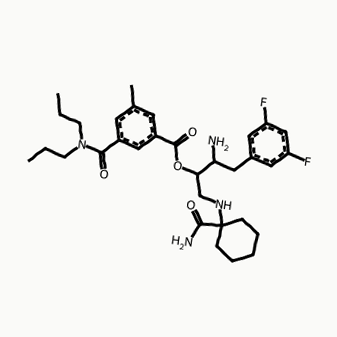 CCCN(CCC)C(=O)c1cc(C)cc(C(=O)OC(CNC2(C(N)=O)CCCCC2)C(N)Cc2cc(F)cc(F)c2)c1